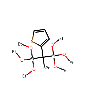 CCCC(c1cccs1)([Si](OCC)(OCC)OCC)[Si](OCC)(OCC)OCC